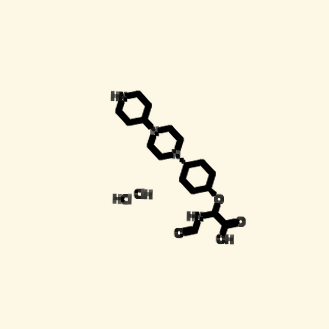 Cl.Cl.O=CNC(O[C@H]1CC[C@H](N2CCN(C3CCNCC3)CC2)CC1)C(=O)O